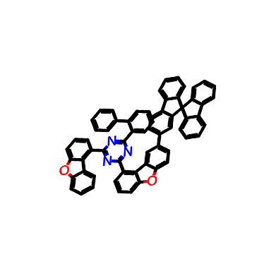 c1ccc(-c2ccccc2-c2nc(-c3cccc4oc5ccccc5c34)nc(-c3cccc4oc5ccc(-c6ccc7c(c6)C6(c8ccccc8-c8ccccc86)c6ccccc6-7)cc5c34)n2)cc1